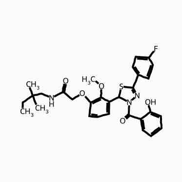 CCC(C)(C)CNC(=O)COc1cccc(C2SC(c3ccc(F)cc3)=NN2C(=O)c2ccccc2O)c1OC